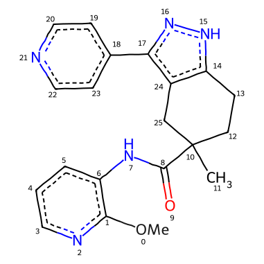 COc1ncccc1NC(=O)C1(C)CCc2[nH]nc(-c3ccncc3)c2C1